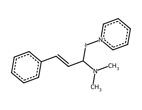 CN(C)C(C=Cc1ccccc1)[I][n+]1ccccc1